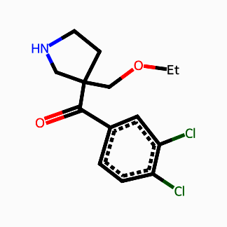 CCOCC1(C(=O)c2ccc(Cl)c(Cl)c2)CCNC1